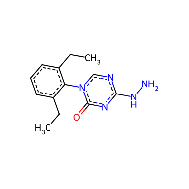 CCc1cccc(CC)c1-n1cnc(NN)nc1=O